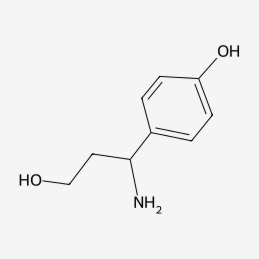 NC(CCO)c1ccc(O)cc1